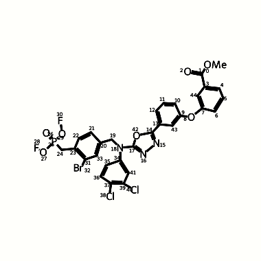 COC(=O)c1cccc(Oc2cccc(-c3nnc(N(Cc4ccc(CP(=O)(OF)OF)c(Br)c4)c4ccc(Cl)c(Cl)c4)o3)c2)c1